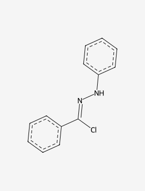 ClC(=NNc1ccccc1)c1ccccc1